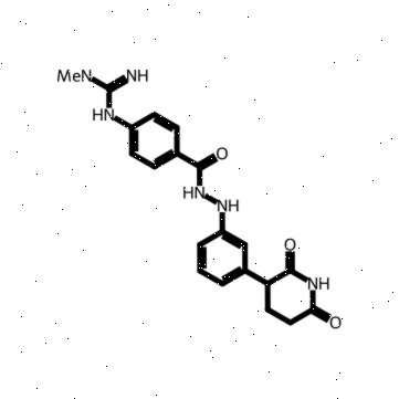 CNC(=N)Nc1ccc(C(=O)NNc2cccc(C3CCC(=O)NC3=O)c2)cc1